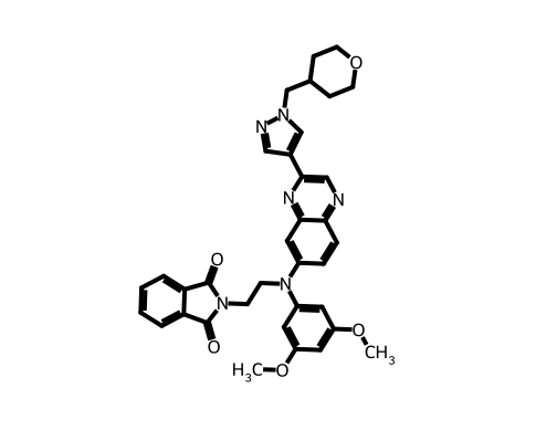 COc1cc(OC)cc(N(CCN2C(=O)c3ccccc3C2=O)c2ccc3ncc(-c4cnn(CC5CCOCC5)c4)nc3c2)c1